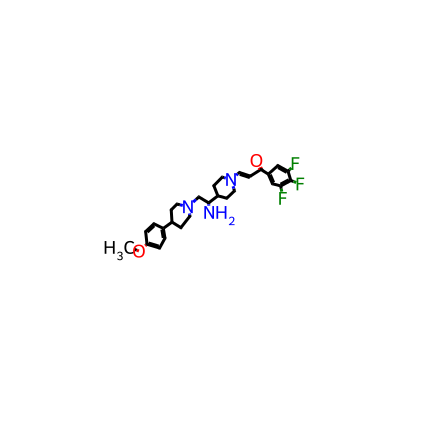 COc1ccc(C2CCN(CC(N)C3CCN(C=CC(=O)c4cc(F)c(F)c(F)c4)CC3)CC2)cc1